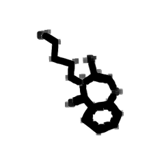 O=C1c2ccccc2OC=C(Br)N1CCCCCl